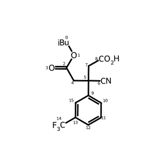 CCC(C)OC(=O)CC(C#N)(CC(=O)O)c1cccc(C(F)(F)F)c1